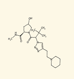 CNC(=O)[C@H]1CC(O)CN1C(=O)C(n1cc(CCN2CCCCC2)nn1)C(C)(C)C